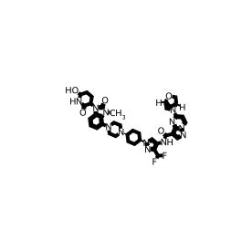 Cn1c(=O)n(C2CCC(O)NC2=O)c2cccc(N3CCN([C@H]4CC[C@H](n5cc(NC(=O)c6cnn7ccc(N8C[C@H]9C[C@@H]8CO9)nc67)c(C(F)F)n5)CC4)CC3)c21